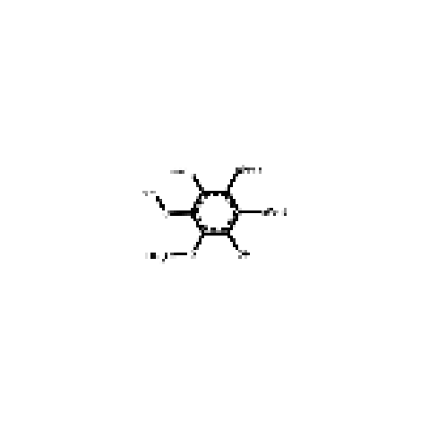 CCCCCc1c(O)c(OC(=O)O)c(OCCC)c(CCCCC)c1CCCCC